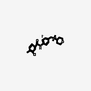 Cc1ccc(C(=O)Nc2ccc(C[N+](C)(C)C3CCOCC3)cc2)cc1Cl.[I-]